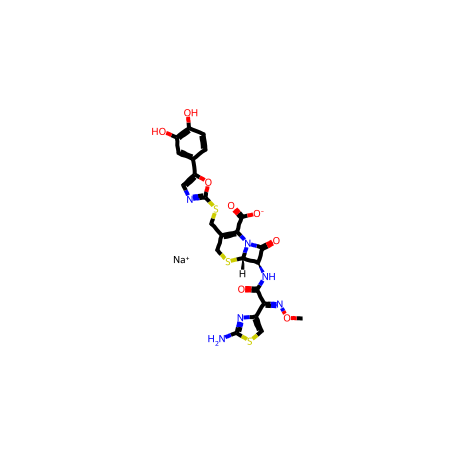 CON=C(C(=O)N[C@@H]1C(=O)N2C(C(=O)[O-])=C(CSc3ncc(-c4ccc(O)c(O)c4)o3)CS[C@@H]12)c1csc(N)n1.[Na+]